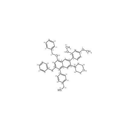 COc1ccc(-c2cc3c(OCc4ccccc4)cc(Cc4ccccc4)c(-c4ccc(CS)cc4)c3cc2N2CCOCC2)c(OC)c1